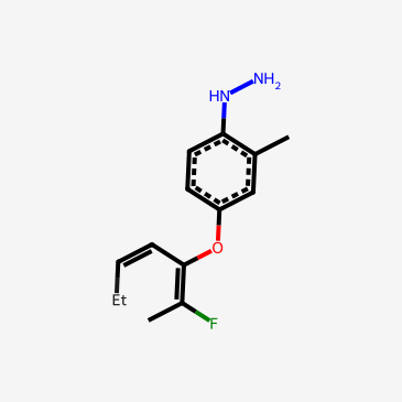 CC/C=C\C(Oc1ccc(NN)c(C)c1)=C(/C)F